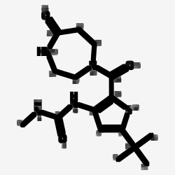 CNC(=O)Nc1cc(C(C)(C)C)sc1C(=O)N1CCNC(=O)CC1